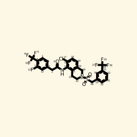 O=C(Cc1ccc(C(F)(F)F)c(F)c1)Nc1c(Cl)ccc2c1CCN(S(=O)(=O)Cc1cccc(C(F)(F)F)c1)C2